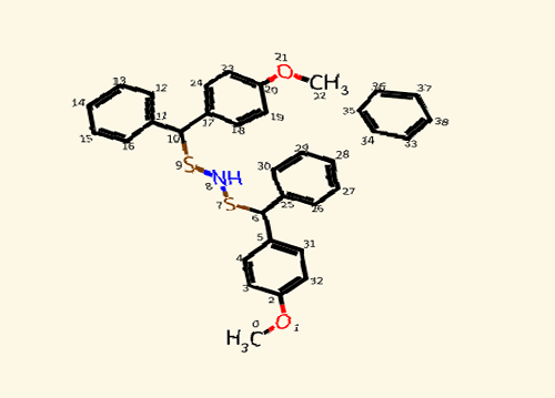 COc1ccc(C(SNSC(c2ccccc2)c2ccc(OC)cc2)c2ccccc2)cc1.c1ccccc1